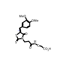 COc1ccc(/C=C2/SC(=S)N(CCC(=O)NCCC(=O)O)C2=O)cc1OC